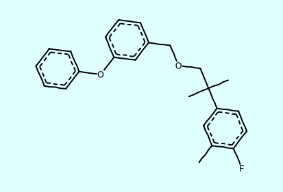 Cc1cc(C(C)(C)COCc2cccc(Oc3ccccc3)c2)ccc1F